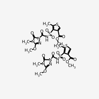 COC(=O)c1csc(C)c1S(=O)(=O)NC(=O)n1nc(OC)n(C)c1=O.COC(=O)c1csc(C)c1S(=O)(=O)NC(=O)n1nc(OC)n(C)c1=O